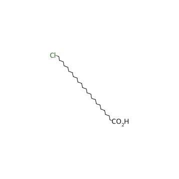 O=C(O)CCCCCCCCCCCCCCCCCCCCCCCCCl